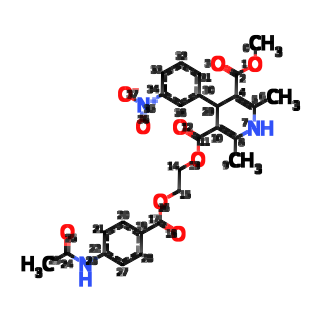 COC(=O)C1=C(C)NC(C)=C(C(=O)OCCOC(=O)c2ccc(NC(C)=O)cc2)C1c1cccc([N+](=O)[O-])c1